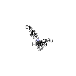 CCOCc1cn2cc(/C=C/C(=O)Nc3ccccc3NC(=O)OC(C)(C)C)sc2n1